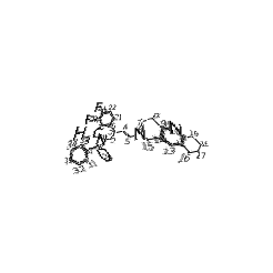 CN(CC(CCN1CCc2nc3c(cc2C1)CCCC3)c1ccc(F)c(F)c1)C(=O)c1ccccc1